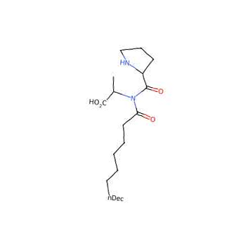 CCCCCCCCCCCCCCCC(=O)N(C(=O)C1CCCN1)C(C)C(=O)O